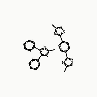 Cc1csc(-c2ccc(-c3nc(C)cs3)cc2)n1.Cc1nc(-c2ccccc2)c(-c2ccccc2)s1